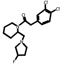 O=C(Cc1ccc(Cl)c(Cl)c1)N1CCCCC1CN1CCC(F)C1